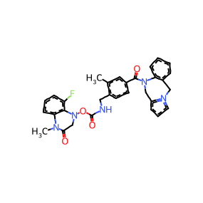 Cc1cc(C(=O)N2Cc3cccn3Cc3ccccc32)ccc1CNC(=O)ON1CC(=O)N(C)c2cccc(F)c21